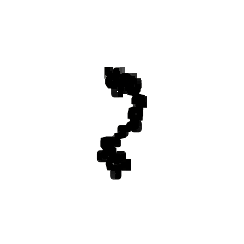 C[C@@H](Oc1cc(-c2cnn(C3CCN(C(=O)CCOCCSc4cccc5c4CN(C4CCC(=O)NC4=O)C5=O)CC3)c2)cnc1N)c1c(Cl)ccc(F)c1Cl